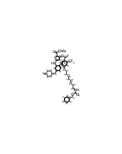 COC(=O)c1sc(Nc2cc(CN3CCN(C)CC3)ccc2[N+](=O)[O-])cc1OC(C)c1ccc(OCCOCCOCCNC(=O)OCc2ccccc2)cc1C(F)(F)F